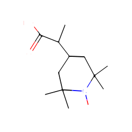 CC(C(=O)O)C1CC(C)(C)N(O)C(C)(C)C1